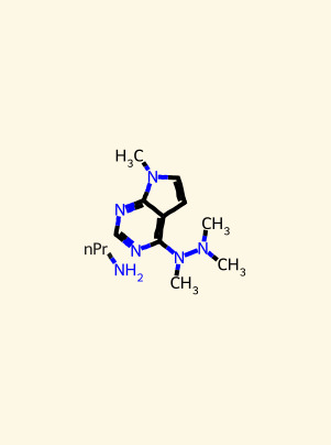 CCCN.CN(C)N(C)c1ncnc2c1ccn2C